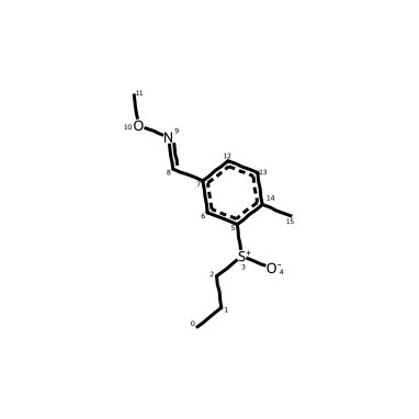 CCC[S+]([O-])c1cc(/C=N/OC)ccc1C